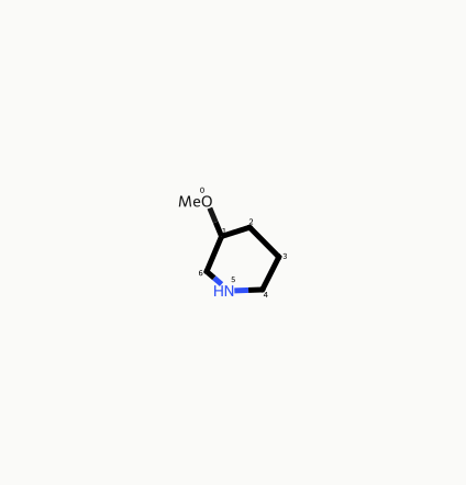 COC1CCCNC1